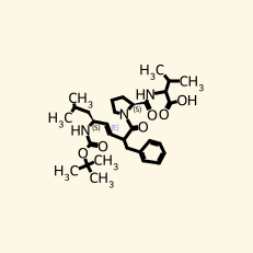 CC(C)C[C@@H](/C=C/C(Cc1ccccc1)C(=O)N1CCC[C@H]1C(=O)NC(C(=O)O)C(C)C)NC(=O)OC(C)(C)C